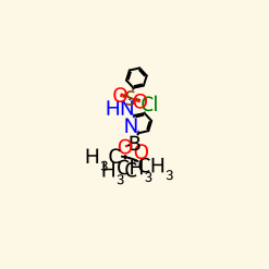 CC1(C)OB(c2ccc(Cl)c(NS(=O)(=O)c3ccccc3)n2)OC1(C)C